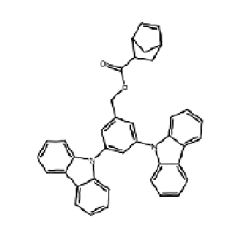 O=C(OCc1cc(-n2c3ccccc3c3ccccc32)cc(-n2c3ccccc3c3ccccc32)c1)C1CC2C=CC1C2